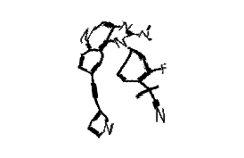 CN(C)c1nc2cnc3ccc(C#Cc4cccnc4)cc3c2n1-c1ccc(C(C)(C)C#N)c(F)c1